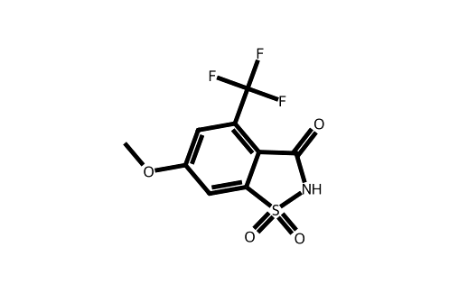 COc1cc(C(F)(F)F)c2c(c1)S(=O)(=O)NC2=O